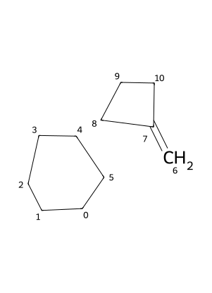 C1CCCCC1.C=C1CCC1